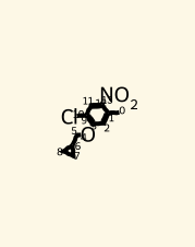 Cc1cc(OCC2CC2)c(Cl)cc1[N+](=O)[O-]